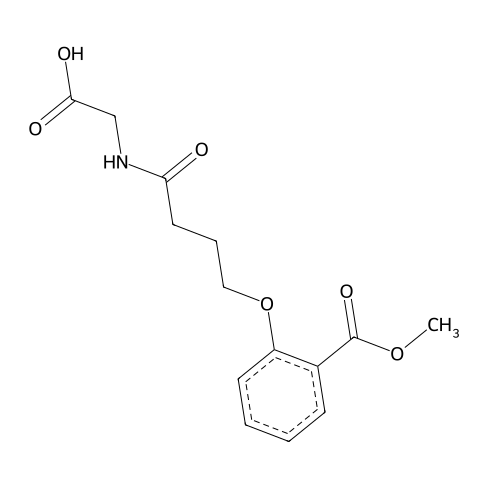 COC(=O)c1ccccc1OCCCC(=O)NCC(=O)O